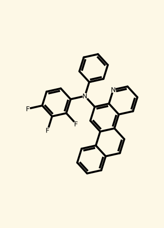 Fc1ccc(N(c2ccccc2)c2cc3c4ccccc4ccc3c3cccnc23)c(F)c1F